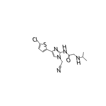 CC(C)NCC(=O)Nc1nc(-c2ccc(Cl)s2)cn1CC#N